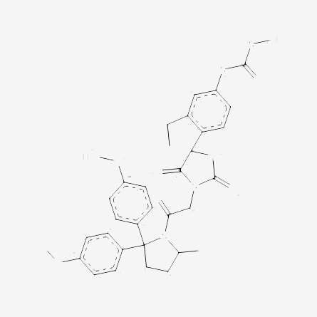 CNC(=O)Nc1ccc2c(c1)CC[C@@]21OC(=O)N(CC(=O)N2C(C)CCC2(c2ccc(OC)cc2)c2ccc(OC)cc2)C1=O